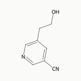 N#Cc1cncc(CCO)c1